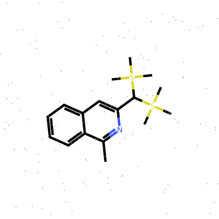 Cc1nc(C(S(C)(C)C)S(C)(C)C)cc2ccccc12